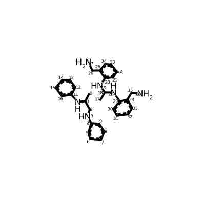 CC(CNc1ccccc1)Nc1ccccc1.CC(Nc1ccccc1CN)Nc1ccccc1CN